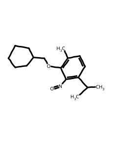 Cc1ccc(C(C)C)c(N=O)c1OCC1CCCCC1